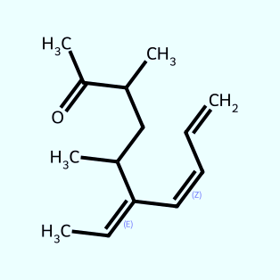 C=C/C=C\C(=C\C)C(C)CC(C)C(C)=O